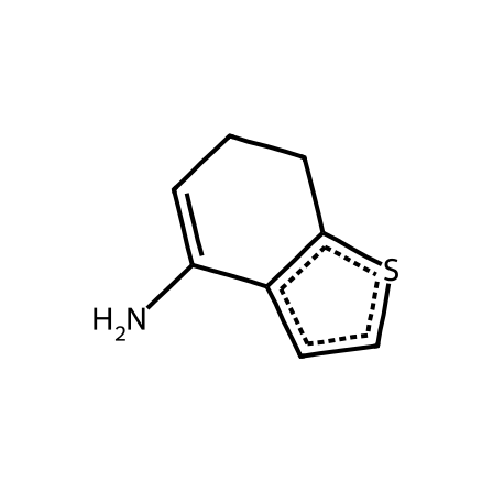 NC1=CCCc2sccc21